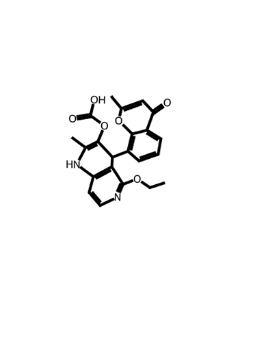 CCOc1nccc2c1C(c1cccc3c(=O)cc(C)oc13)C(OC(=O)O)=C(C)N2